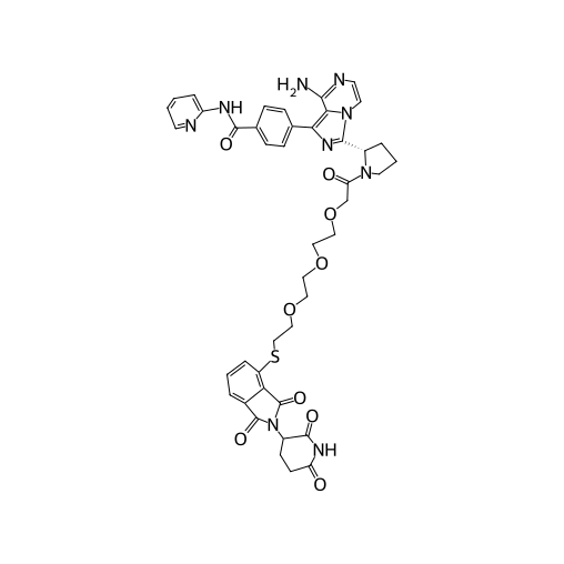 Nc1nccn2c([C@@H]3CCCN3C(=O)COCCOCCOCCSc3cccc4c3C(=O)N(C3CCC(=O)NC3=O)C4=O)nc(-c3ccc(C(=O)Nc4ccccn4)cc3)c12